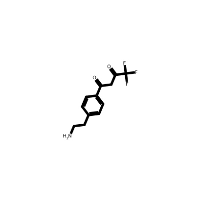 NCCc1ccc(C(=O)CC(=O)C(F)(F)F)cc1